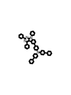 c1ccc(-c2ccc(N(c3ccc(-c4ccccc4)cc3)c3ccc(-c4ccc5c(c4)c4c(-c6ccccc6)nc(-c6ccccc6)nc4n5-c4ccccc4)cc3)cc2)cc1